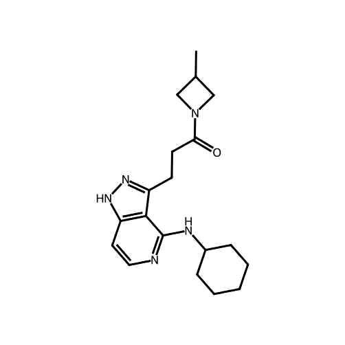 CC1CN(C(=O)CCc2n[nH]c3ccnc(NC4CCCCC4)c23)C1